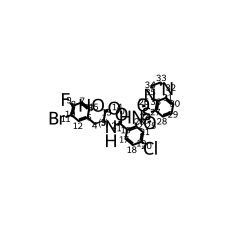 O=C(N[C@@H](Cc1ccc(F)c(Br)c1)C(=O)O)c1ccc(Cl)cc1NS(=O)(=O)c1cccc2nccnc12